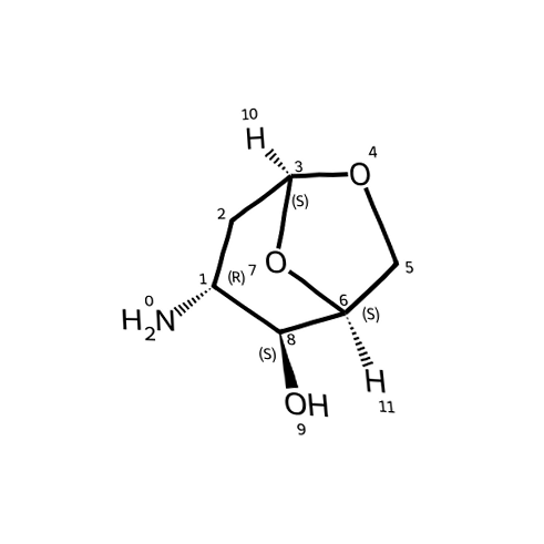 N[C@@H]1C[C@H]2OC[C@H](O2)[C@H]1O